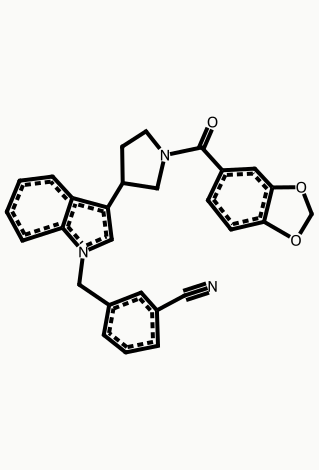 N#Cc1cccc(Cn2cc(C3CCN(C(=O)c4ccc5c(c4)OCO5)C3)c3ccccc32)c1